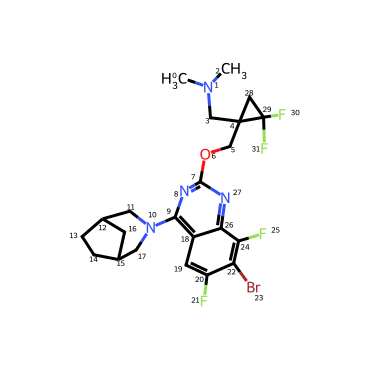 CN(C)CC1(COc2nc(N3CC4CCC(C4)C3)c3cc(F)c(Br)c(F)c3n2)CC1(F)F